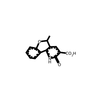 CC1Oc2ccccc2-c2[nH]c(=O)c(C(=O)O)cc21